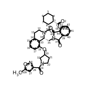 CNC(=O)[C@H]1CCCC[C@H]1C(=O)N1CCc2cccc(OC3CCN(C(=O)c4cc(C)on4)C3)c2[C@H]1CN1C(=O)c2ccccc2C1=O